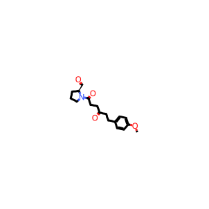 COc1ccc(CCC(=O)CCC(=O)N2CCC[C@H]2C=O)cc1